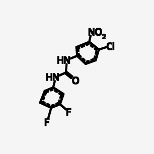 O=C(Nc1ccc(F)c(F)c1)Nc1ccc(Cl)c([N+](=O)[O-])c1